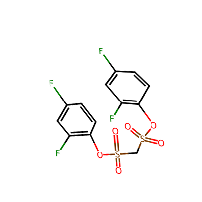 O=S(=O)(CS(=O)(=O)Oc1ccc(F)cc1F)Oc1ccc(F)cc1F